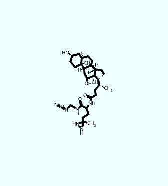 C[C@H](CCC(=O)NC(CCC1(C)NN1)C(=O)NCN=[N+]=[N-])[C@H]1CC[C@H]2[C@@H]3CC[C@@H]4C[C@H](O)CC[C@]4(C)[C@H]3CC(O)[C@]12C